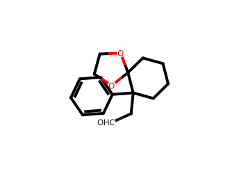 O=CCC1(c2ccccc2)CCCCC12OCCO2